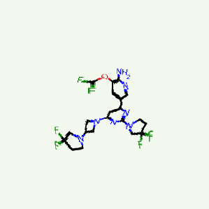 Nc1ncc(-c2cc(N3CC(N4CCC(F)(F)C4)C3)nc(N3CCC(F)(F)C3)n2)cc1OC(F)F